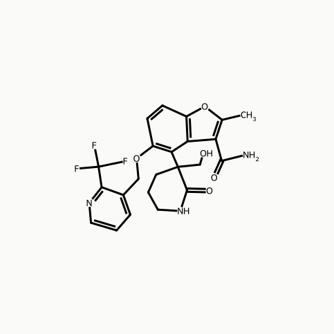 Cc1oc2ccc(OCc3cccnc3C(F)(F)F)c(C3(CO)CCCNC3=O)c2c1C(N)=O